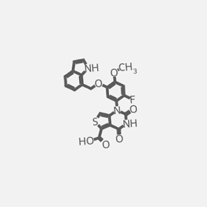 COc1cc(F)c(-n2c(=O)[nH]c(=O)c3c(C(=O)O)scc32)cc1OCc1cccc2cc[nH]c12